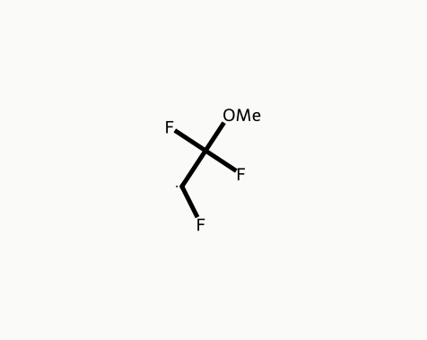 COC(F)(F)[CH]F